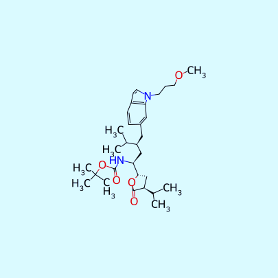 COCCCn1ccc2ccc(C[C@@H](C[C@H](NC(=O)OC(C)(C)C)[C@@H]3C[C@@H](C(C)C)C(=O)O3)C(C)C)cc21